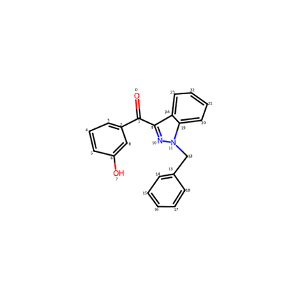 O=C(c1cccc(O)c1)c1nn(Cc2ccccc2)c2ccccc12